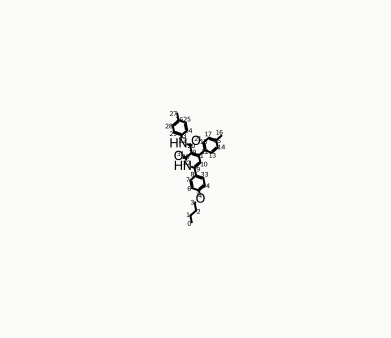 CCCCOc1ccc(-c2cc(-c3ccc(C)cc3)c(C(=O)Nc3ccc(C)cc3)c(=O)[nH]2)cc1